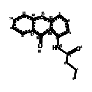 CCCC(=O)Nc1cccc2sc3ccccc3c(=O)c12